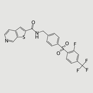 O=C(NCc1ccc(S(=O)(=O)c2ccc(C(F)(F)F)cc2F)cc1)c1cc2ccncc2s1